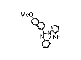 COc1ccc2cc(C3=Nc4ccccc4C4Nc5ccccc5N34)ccc2c1